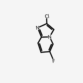 Fc1ccc2nc(Cl)cn2c1